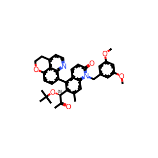 COc1cc(Cn2c(=O)ccc3c(-c4ccc5c6c(ccnc46)CCO5)c([C@H](OC(C)(C)C)C(C)=O)c(C)cc32)cc(OC)c1